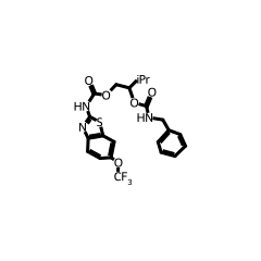 CC(C)C(COC(=O)Nc1nc2ccc(OC(F)(F)F)cc2s1)OC(=O)NCc1ccccc1